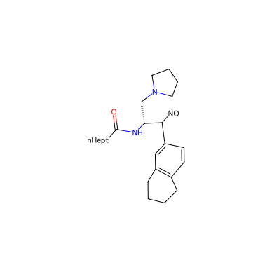 CCCCCCCC(=O)N[C@H](CN1CCCC1)C(N=O)c1ccc2c(c1)CCCC2